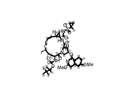 CC[C@@H]1C[C@@H](C)CC/C=C\[C@@H]2C[C@@]2(C(=O)NS(=O)(=O)C2(C)CC2)NC(=O)[C@@H]2C[C@@H](Oc3nc(OC)cc4cc(OC)ccc34)CN2C(=O)[C@H]1NC(=O)OC(C)(C)C(C)(F)F